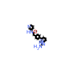 Nc1nc2cccc(-c3ccc(CC(=O)Nc4cccnc4)cc3)n2n1